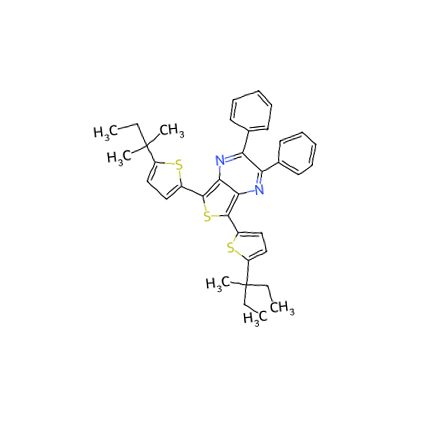 CCC(C)(C)c1ccc(-c2sc(-c3ccc(C(C)(CC)CC)s3)c3nc(-c4ccccc4)c(-c4ccccc4)nc23)s1